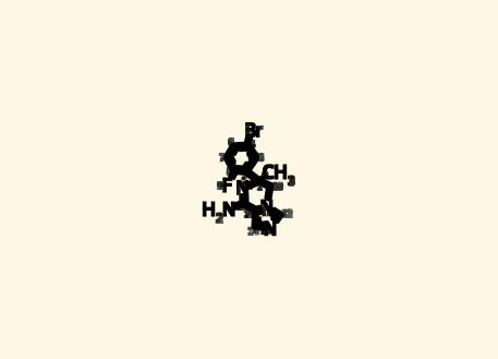 C[C@@]1(c2cc(Br)ccc2F)Cn2cncc2C(N)=N1